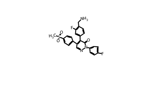 CS(=O)(=O)c1ccc(-c2cnn(-c3ccc(F)cc3)c(=O)c2-c2ccc(CN)c(F)c2)cc1